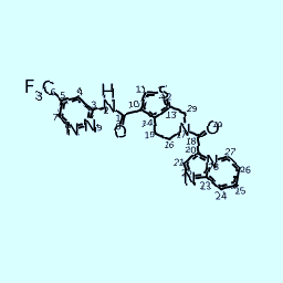 O=C(Nc1cc(C(F)(F)F)cnn1)c1csc2c1CCN(C(=O)c1cnc3ccccn13)C2